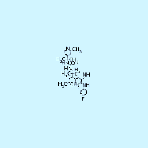 Cc1cc(C(C)(C)NC(=O)NCC(C)(C)C(CC(C)C)c2ccc(Nc3ccc(F)cc3)c(C=N)c2)ccn1